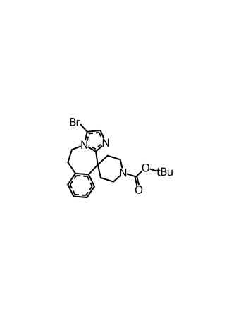 CC(C)(C)OC(=O)N1CCC2(CC1)c1ccccc1CCn1c(Br)cnc12